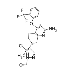 C/C(Cl)=C(\C=N/NC=O)N1CCc2c(nc(N)nc2Oc2ccccc2C(F)(F)F)C1